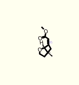 COC(=O)/C=C1/C[C@]2(C)CCO[C@H]12